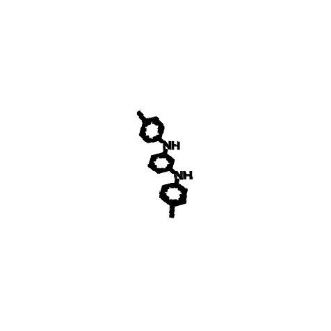 Cc1ccc(Nc2cccc(Nc3ccc(C)cc3)c2)cc1